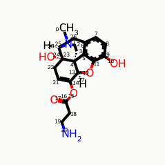 CN1CC[C@]23c4c5ccc(O)c4O[C@H]2C(OC(=O)CCN)=CC[C@@]3(O)[C@H]1C5